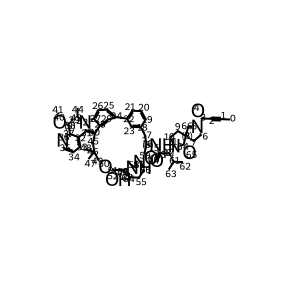 CC#CC(=O)N1CC[C@@]2(CCN([C@H](C(=O)N[C@H]3Cc4cccc(c4)-c4ccc5c(c4)c(c(-c4cccnc4[C@H](C)OC)n5CC)CC(C)(C)COC(=O)[C@@H]4CCCN(N4)C3=O)C(C)C)C2=O)C1